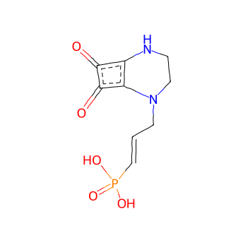 O=c1c2c(c1=O)N(CC=CP(=O)(O)O)CCN2